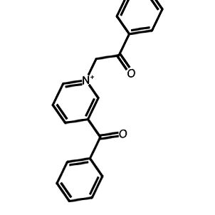 O=C(C[n+]1cccc(C(=O)c2ccccc2)c1)c1ccccc1